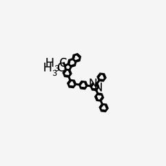 CC1(C)c2ccc(-c3cccc(-c4ccc(-c5cc(-c6ccc(-c7ccccc7)cc6)nc(-c6ccccc6)n5)cc4)c3)cc2-c2cc3ccccc3cc21